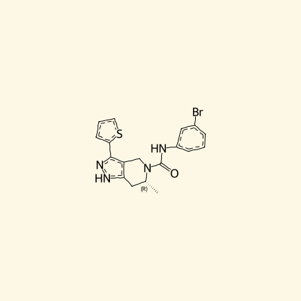 C[C@@H]1Cc2[nH]nc(-c3cccs3)c2CN1C(=O)Nc1cccc(Br)c1